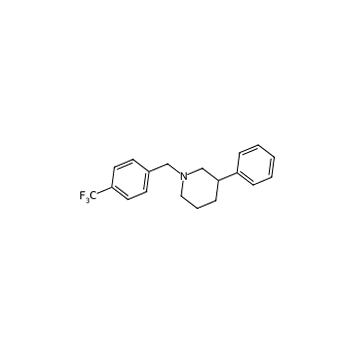 FC(F)(F)c1ccc(CN2CCCC(c3ccccc3)C2)cc1